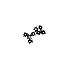 C1=Cc2c(n(-c3ccc(-c4nc(-c5ccccc5)nc(-c5ccccc5)n4)cc3)c3ccc4c5ccccc5n(-c5ccccc5)c4c23)CC1